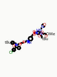 COC(=O)CCCN(C(=O)CCC(C)(C)C)C1(C(=O)NCCN2CCOCC2)CCN(C(=O)OCC2C3CCc4nnn(CCOCCOCCN(Cc5ccc(C(C)(C)C)cc5)C(=O)C(c5ccc(Cl)cc5)C5CCCCC5)c4CCC32)CC1